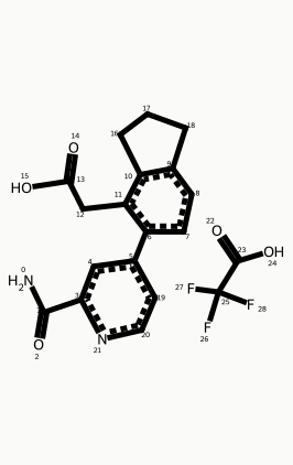 NC(=O)c1cc(-c2ccc3c(c2CC(=O)O)CCC3)ccn1.O=C(O)C(F)(F)F